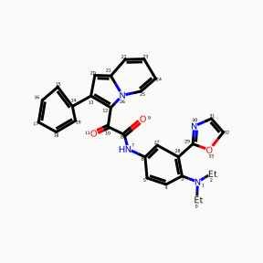 CCN(CC)c1ccc(NC(=O)C(=O)c2c(-c3ccccc3)cc3ccccn23)cc1-c1ncco1